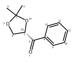 CC1(C)OC[C@@H](C(=O)c2ccccc2)O1